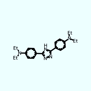 CCN(CC)c1ccc(-c2nnc(-c3ccc(N(CC)CC)cc3)[nH]2)cc1